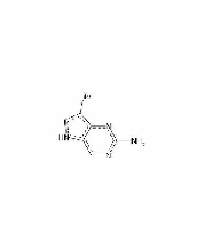 CC(C)c1c[nH]c2cnc(N)nc12